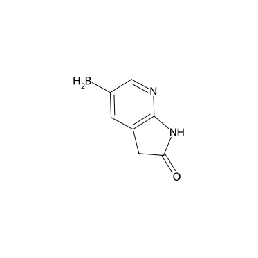 Bc1cnc2c(c1)CC(=O)N2